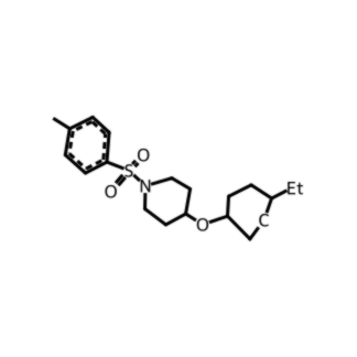 CCC1CCC(OC2CCN(S(=O)(=O)c3ccc(C)cc3)CC2)CC1